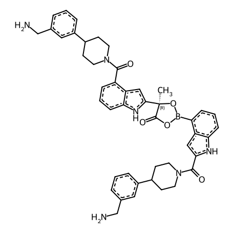 C[C@]1(c2cc3c(C(=O)N4CCC(c5cccc(CN)c5)CC4)cccc3[nH]2)OB(c2cccc3[nH]c(C(=O)N4CCC(c5cccc(CN)c5)CC4)cc23)OC1=O